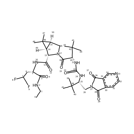 CCNC(=O)[C@H](CC(F)F)NC(=O)[C@@H]1[C@@H]2[C@H](CN1C(=O)[C@@H](NC(=O)N[C@H](CN1C(=O)c3ccncc3C1=O)C(C)(C)C)C(C)(C)C)C2(C)C